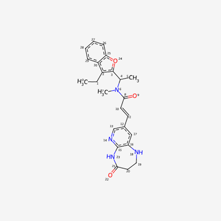 CCc1c(C(C)N(C)C(=O)/C=C/c2cnc3c(c2)NCCC(=O)N3)oc2ccccc12